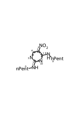 CCCCCNc1ncc([N+](=O)[O-])c(NCCCCC)n1